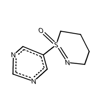 O=S1(c2cncnc2)=NCCCC1